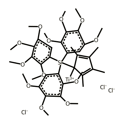 COc1cc([Si](c2cc(OC)c(OC)c(OC)c2OC)(c2cc(OC)c(OC)c(OC)c2OC)[C]2([Ti+3])C(C)=C(C)C(C)=C2C)c(OC)c(OC)c1OC.[Cl-].[Cl-].[Cl-]